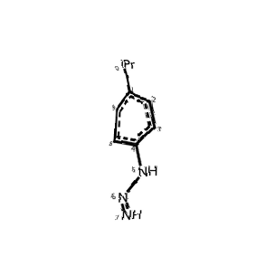 CC(C)c1ccc(NN=N)cc1